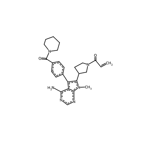 C=CC(=O)N1CCC(c2c(-c3ccc(C(=O)N4CCCCC4)cc3)c3c(N)ncnc3n2C)C1